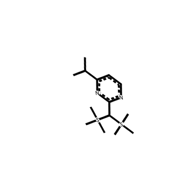 CC(C)c1ccnc(C(S(C)(C)C)S(C)(C)C)n1